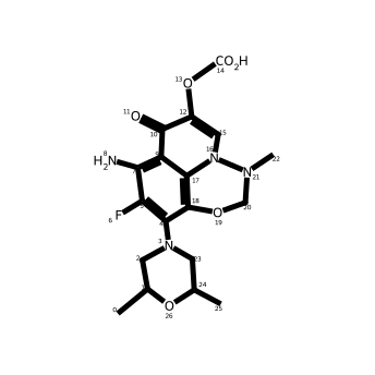 CC1CN(c2c(F)c(N)c3c(=O)c(OC(=O)O)cn4c3c2OCN4C)CC(C)O1